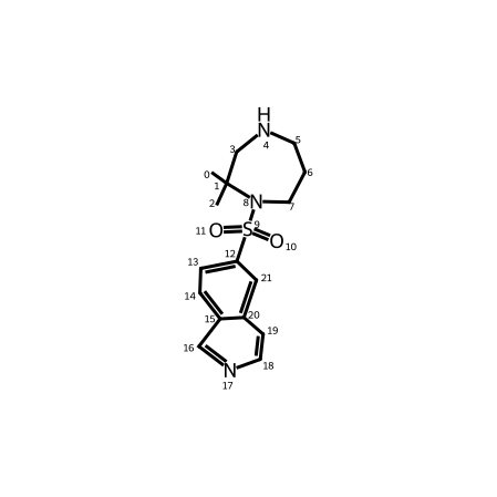 CC1(C)CNCCCN1S(=O)(=O)c1ccc2cnccc2c1